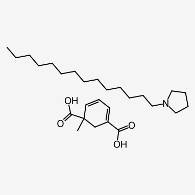 CC1(C(=O)O)C=CC=C(C(=O)O)C1.CCCCCCCCCCCCCCN1CCCC1